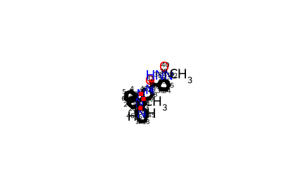 Cc1nc2ccccc2n1C1C[C@H]2CC[C@@H](C1)N2CCC1(c2ccccc2)CCN(C(=O)c2cccc3c2[nH]c(=O)n3C)CC1